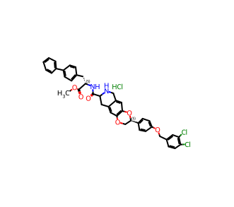 COC(=O)[C@H](Cc1ccc(-c2ccccc2)cc1)NC(=O)C1Cc2cc3c(cc2CN1)O[C@@H](c1ccc(OCc2ccc(Cl)c(Cl)c2)cc1)CO3.Cl